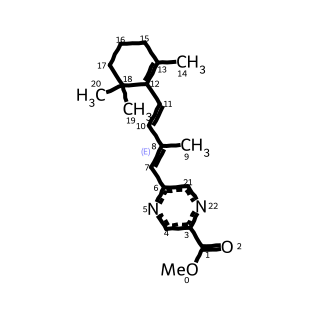 COC(=O)c1cnc(/C=C(\C)C=CC2=C(C)CCCC2(C)C)cn1